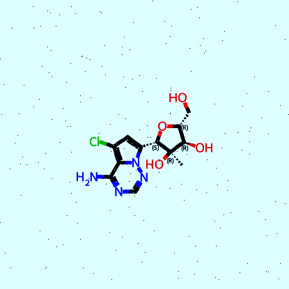 C[C@@]1(O)[C@H](O)[C@@H](CO)O[C@H]1c1cc(Cl)c2c(N)ncnn12